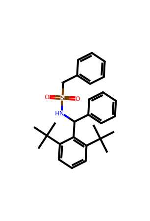 CC(C)(C)c1cccc(C(C)(C)C)c1C(NS(=O)(=O)[CH]c1ccccc1)c1ccccc1